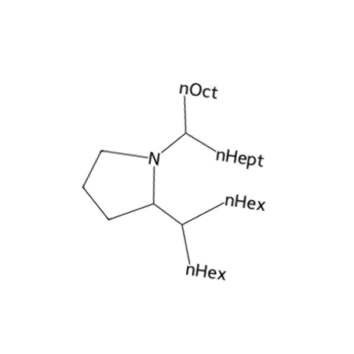 CCCCCCCCC(CCCCCCC)N1CCCC1C(CCCCCC)CCCCCC